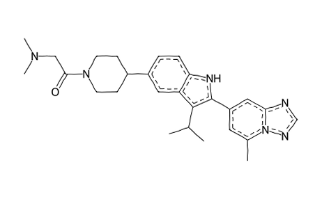 Cc1cc(-c2[nH]c3ccc(C4CCN(C(=O)CN(C)C)CC4)cc3c2C(C)C)cc2ncnn12